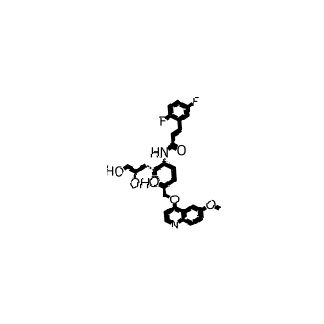 COc1ccc2nccc(OC[C@@H]3CC[C@@H](NC(=O)C=Cc4cc(F)ccc4F)[C@@H](C[C@@H](O)CO)O3)c2c1